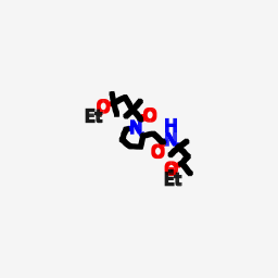 CCOC(C)CC(C)(C)NC(=O)CC1CCCCN1C(=O)C(C)(C)CC(C)(C)OCC